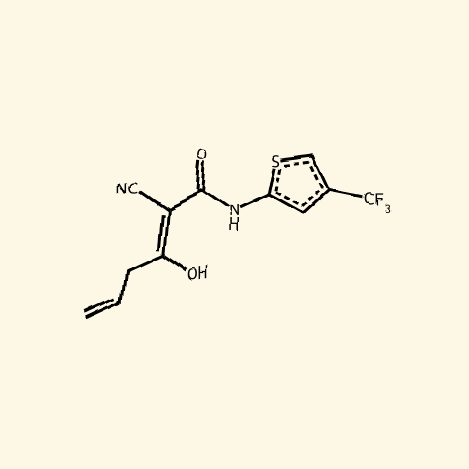 C=CCC(O)=C(C#N)C(=O)Nc1cc(C(F)(F)F)cs1